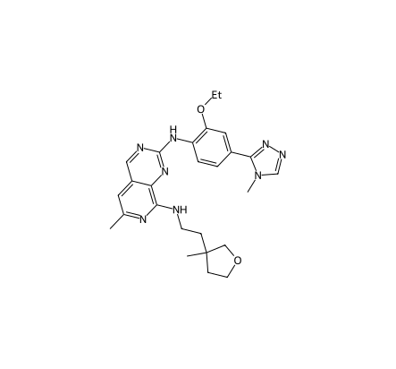 CCOc1cc(-c2nncn2C)ccc1Nc1ncc2cc(C)nc(NCCC3(C)CCOC3)c2n1